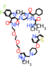 CN[C@@H](C)C(=O)N[C@H](C(=O)N1CCN(C(=O)c2c(C(=O)NCCOCCOCCOc3cc(CN4CCC(Oc5ccnc6ccsc56)CC4)n(C)n3)c3cc(F)c(F)cc3n2C)CC1)C1CCCCC1